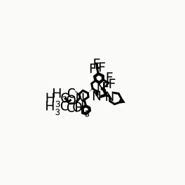 CC[C@@H]1C[C@H](C(Cc2cc(C(F)(F)F)cc(C(F)(F)F)c2)c2ncc(N3CCC4CC4CC3)cn2)CC(c2ccccc2)N1C(=O)OC(C)(C)C